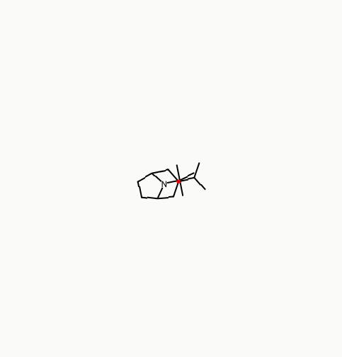 CC(C)C1CC2CCC(C1)N2C(C)(C)C